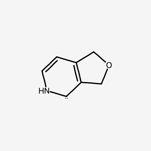 [C]1NC=CC2=C1COC2